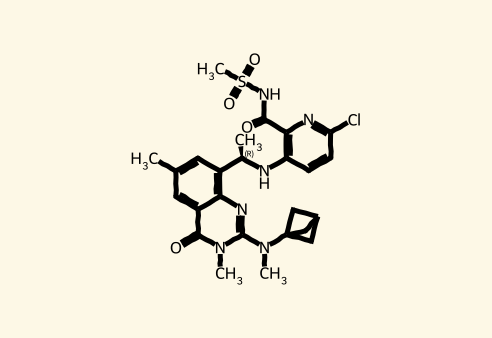 Cc1cc([C@@H](C)Nc2ccc(Cl)nc2C(=O)NS(C)(=O)=O)c2nc(N(C)C34CC(C3)C4)n(C)c(=O)c2c1